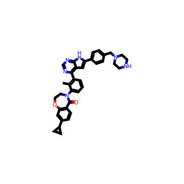 Cc1c(-c2ncnc3[nH]c(-c4ccc(CN5CCNCC5)cc4)cc23)cccc1N1CCOc2cc(C3CC3)ccc2C1=O